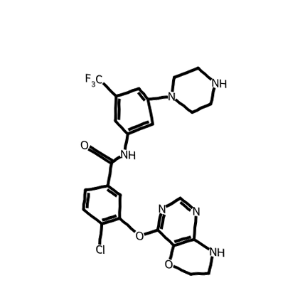 O=C(Nc1cc(N2CCNCC2)cc(C(F)(F)F)c1)c1ccc(Cl)c(Oc2ncnc3c2OCCN3)c1